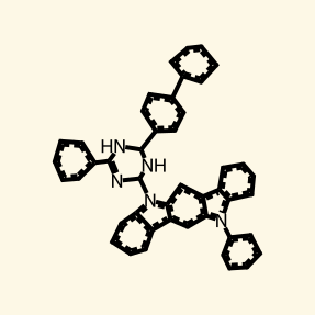 c1ccc(C2=NC(n3c4ccccc4c4cc5c(cc43)c3ccccc3n5-c3ccccc3)NC(c3ccc(-c4ccccc4)cc3)N2)cc1